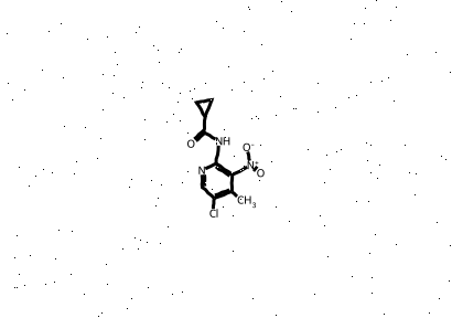 Cc1c(Cl)cnc(NC(=O)C2CC2)c1[N+](=O)[O-]